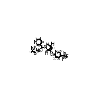 O=C(c1cccnc1-n1nccn1)N1C[C@H]2C[C@@H](Oc3ccc(C(F)(F)F)cn3)[C@@H]1C2